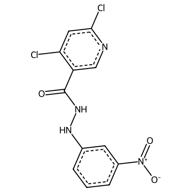 O=C(NNc1cccc([N+](=O)[O-])c1)c1cnc(Cl)cc1Cl